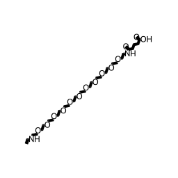 C=CNCCOCCOCCOCCOCCOCCOCCOCCOCCOCCOCCOCCNC(=O)CCCC(=O)O